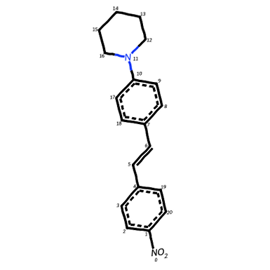 O=[N+]([O-])c1ccc(C=Cc2ccc(N3CCCCC3)cc2)cc1